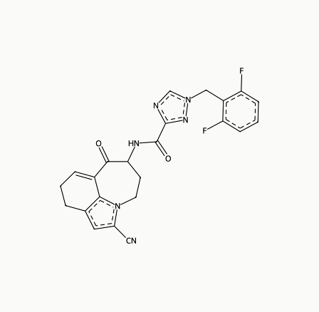 N#Cc1cc2c3n1CCC(NC(=O)c1ncn(Cc4c(F)cccc4F)n1)C(=O)C3=CCC2